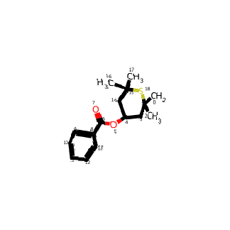 CC1(C)CC(OC(=O)c2ccccc2)CC(C)(C)S1